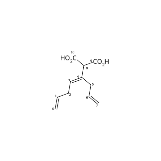 C=CCC=C(CC=C)C(C(=O)O)C(=O)O